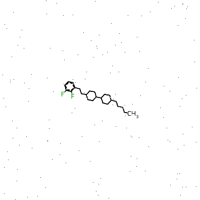 CCCCCC1CCC(C2CCC(CCc3cccc(F)c3F)CC2)CC1